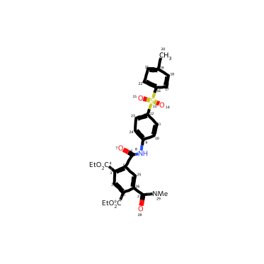 CCOC(=O)c1cc(C(=O)OCC)c(C(=O)Nc2ccc(S(=O)(=O)c3ccc(C)cc3)cc2)cc1C(=O)NC